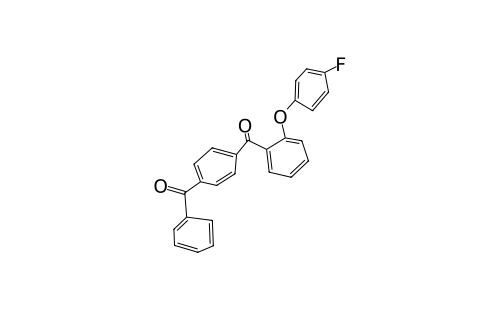 O=C(c1ccccc1)c1ccc(C(=O)c2ccccc2Oc2ccc(F)cc2)cc1